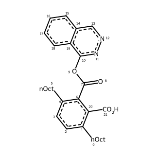 CCCCCCCCc1ccc(CCCCCCCC)c(C(=O)Oc2nncc3ccccc23)c1C(=O)O